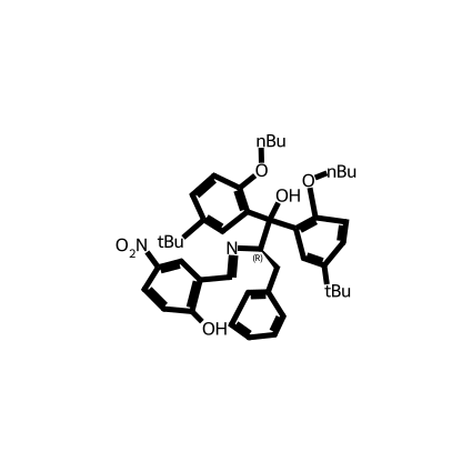 CCCCOc1ccc(C(C)(C)C)cc1C(O)(c1cc(C(C)(C)C)ccc1OCCCC)[C@@H](Cc1ccccc1)N=Cc1cc([N+](=O)[O-])ccc1O